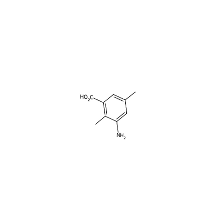 Cc1cc(N)c(C)c(C(=O)O)c1